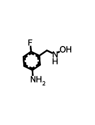 Nc1ccc(F)c(CNO)c1